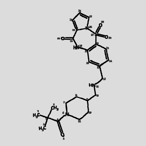 CC(C)(C)C(=O)N1CCC(CNCc2ccc3c(c2)NC(=O)c2cccn2S3(=O)=O)CC1